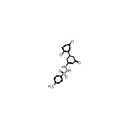 Cc1ccc(S(=O)(=O)NNC2=CC(=O)CC(c3cc(Cl)ccc3Cl)C2)cc1